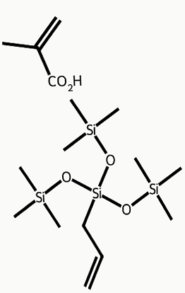 C=C(C)C(=O)O.C=CC[Si](O[Si](C)(C)C)(O[Si](C)(C)C)O[Si](C)(C)C